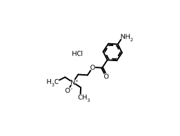 CC[N+]([O-])(CC)CCOC(=O)c1ccc(N)cc1.Cl